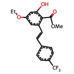 CCOc1cc(O)c(C(=O)OC)c(C=Cc2ccc(C(F)(F)F)cc2)c1